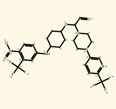 O=CC(OC1CCC(Nc2ccc([N+](=O)[O-])c(C(F)(F)F)c2)CC1)N1CCN(c2ccc(C(F)(F)F)nc2)CC1